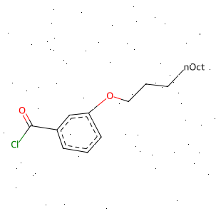 CCCCCCCCCCCOc1cccc(C(=O)Cl)c1